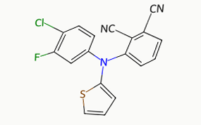 N#Cc1cccc(N(c2ccc(Cl)c(F)c2)c2cccs2)c1C#N